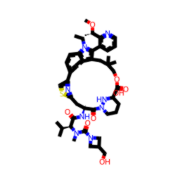 CCn1c(-c2cccnc2[C@H](C)OC)c2c3cc(ccc31)-c1csc(n1)C[C@H](NC(=O)[C@H](C(C)C)N(C)C(=O)N1CC(CO)C1)C(=O)N1CCC[C@@](O)(N1)C(=O)OCC(C)(C)C2